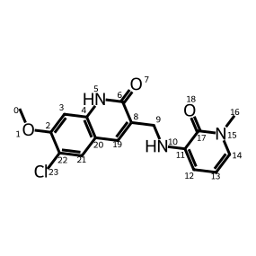 COc1cc2[nH]c(=O)c(CNc3cccn(C)c3=O)cc2cc1Cl